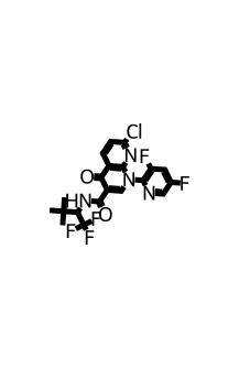 CC(C)(C)C(NC(=O)c1cn(-c2ncc(F)cc2F)c2nc(Cl)ccc2c1=O)C(F)(F)F